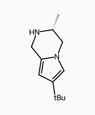 C[C@@H]1Cn2cc(C(C)(C)C)cc2CN1